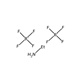 CCN.F[B-](F)(F)F.F[B-](F)(F)F